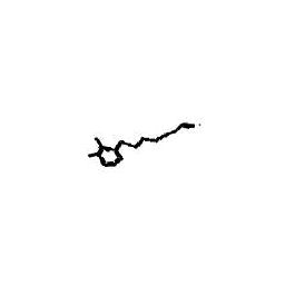 [CH]=CCCCCCCc1cccc(C)c1C